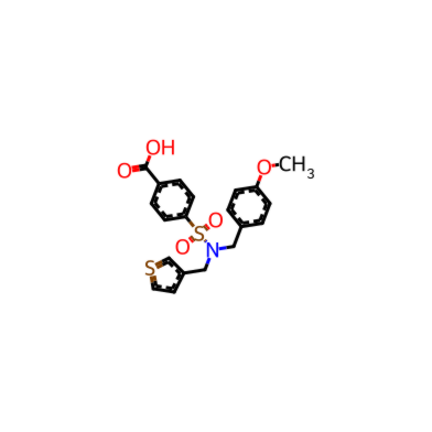 COc1ccc(CN(Cc2ccsc2)S(=O)(=O)c2ccc(C(=O)O)cc2)cc1